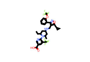 CCC1CC(NCc2c(-c3ccccc3OC(F)(F)F)noc2C2CC2)CC(C)N1c1ncc(C(=O)O)cc1C(F)(F)F